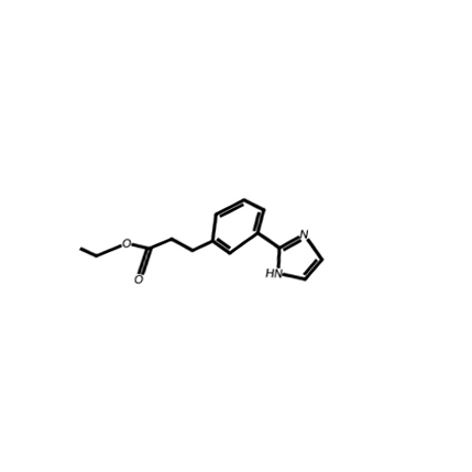 CCOC(=O)CCc1cccc(-c2ncc[nH]2)c1